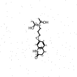 CC(O)N(CCCOc1ccc2c(c1)NC(=O)CC2)C(C)O